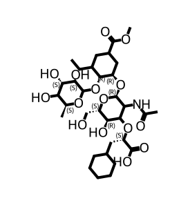 CCC1CC(C(=O)OC)C[C@@H](O[C@@H]2O[C@@H](CO)[C@H](O)C(O[C@@H](CC3CCCCC3)C(=O)O)C2NC(C)=O)[C@@H]1OC1O[C@@H](C)C(O)[C@H](O)[C@@H]1O